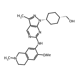 COc1cc2c(cc1Nc1ncc3c(C)nn([C@H]4CC[C@@H](CO)CC4)c3n1)CN(C)CC2